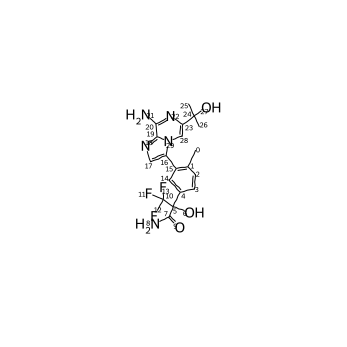 Cc1ccc(C(O)(C(N)=O)C(F)(F)F)cc1-c1cnc2c(N)nc(C(C)(C)O)cn12